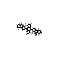 CCC1(CC)c2ccccc2-c2ccc(-c3c4ccccc4c(-c4ccc5c(c4)C(CC)(CC)c4ccccc4-5)c4ccccc34)cc21